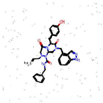 C=CCN1CC(=O)N2C(Cc3ccc(O)cc3)C(=O)N(Cc3cccc4[nH]ncc34)CC2N1C(=O)NCc1ccccc1